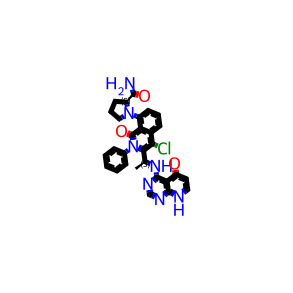 C[C@H](Nc1ncnc2[nH]ccc(=O)c12)c1c(Cl)c2cccc(N3CCC[C@H]3C(N)=O)c2c(=O)n1-c1ccccc1